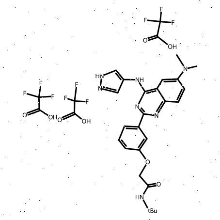 CN(C)c1ccc2nc(-c3cccc(OCC(=O)NC(C)(C)C)c3)nc(Nc3cn[nH]c3)c2c1.O=C(O)C(F)(F)F.O=C(O)C(F)(F)F.O=C(O)C(F)(F)F